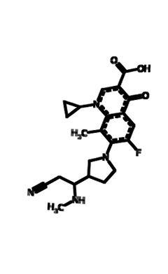 CNC(CC#N)C1CCN(c2c(F)cc3c(=O)c(C(=O)O)cn(C4CC4)c3c2C)C1